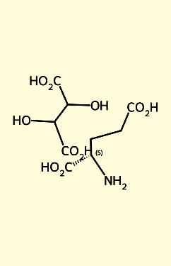 N[C@@H](CCC(=O)O)C(=O)O.O=C(O)C(O)C(O)C(=O)O